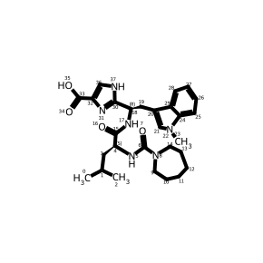 CC(C)C[C@H](NC(=O)N1CCCCCC1)C(=O)N[C@H](Cc1cn(C)c2ccccc12)c1nc(C(=O)O)c[nH]1